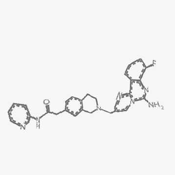 Nc1nc2c(F)cccc2c2nc(CN3CCc4ccc(CC(=O)Nc5ccccn5)cc4C3)cn12